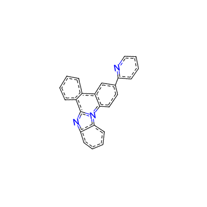 c1ccc(-c2ccc3c(c2)c2ccccc2c2nc4ccccc4n32)nc1